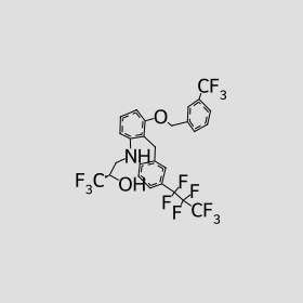 O[C@H](CNc1cccc(OCc2cccc(C(F)(F)F)c2)c1Cc1cccc(C(F)(F)C(F)(F)C(F)(F)F)c1)C(F)(F)F